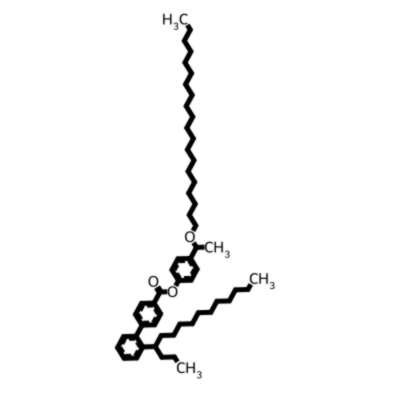 CCCCCCCCCCCCCCCCCCCCOC(C)c1ccc(OC(=O)c2ccc(-c3ccccc3C(CCC)CCCCCCCCCCC)cc2)cc1